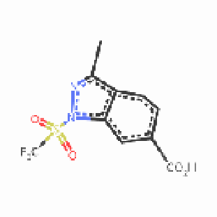 Cc1nn(S(=O)(=O)C(F)(F)F)c2cc(C(=O)O)ccc12